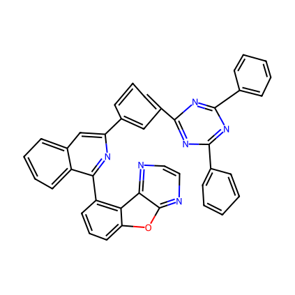 c1ccc(-c2nc(-c3ccccc3)nc(-c3cccc(-c4cc5ccccc5c(-c5cccc6oc7nccnc7c56)n4)c3)n2)cc1